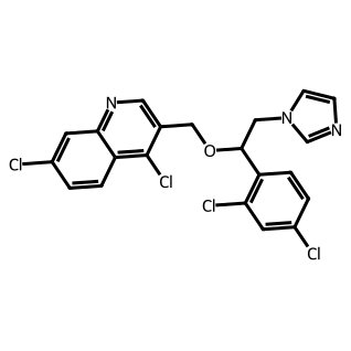 Clc1ccc(C(Cn2ccnc2)OCc2cnc3cc(Cl)ccc3c2Cl)c(Cl)c1